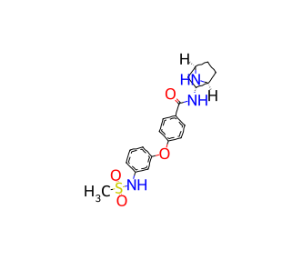 CS(=O)(=O)Nc1cccc(Oc2ccc(C(=O)N[C@@H]3C[C@H]4CC[C@@H]3N4)cc2)c1